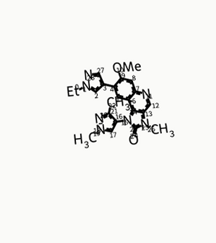 CCn1cc(-c2cc3c(cc2OC)ncc2c3n(-c3cn(C)nc3C)c(=O)n2C)cn1